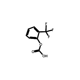 O=C(O)Oc1ccccc1C(F)(F)F